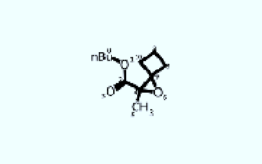 CCCCOC(=O)C1(C)OC12CCC2